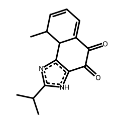 CC(C)c1nc2c([nH]1)C(=O)C(=O)C1=CC=CC(C)C12